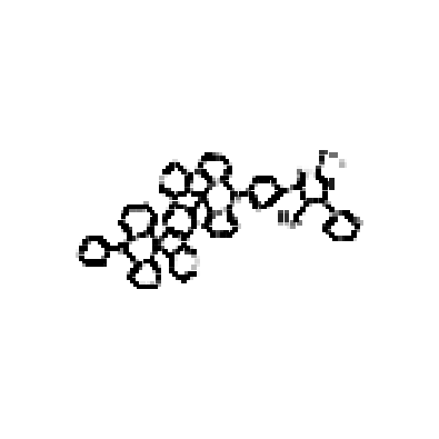 Cc1nc(-c2ccccc2)c(C)c(-c2ccc(N3c4ccccc4C(c4ccccc4)(c4ccc(C5(c6ccccc6)c6ccccc6N(c6ccccc6)c6ccccc65)cc4)c4ccccc43)cc2)n1